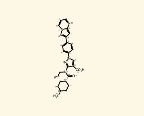 CC(C)CN(c1nn(-c2ccc(-c3cc4ncccn4n3)cc2)cc1C(=O)O)C(=O)[C@H]1CC[C@H](C)CC1